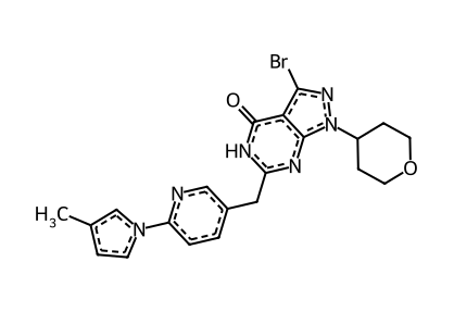 Cc1ccn(-c2ccc(Cc3nc4c(c(Br)nn4C4CCOCC4)c(=O)[nH]3)cn2)c1